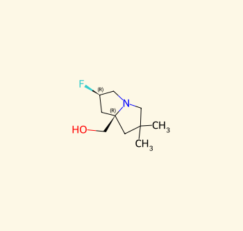 CC1(C)CN2C[C@H](F)C[C@@]2(CO)C1